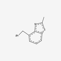 Cc1nc2c(CC(C)C)cccc2s1